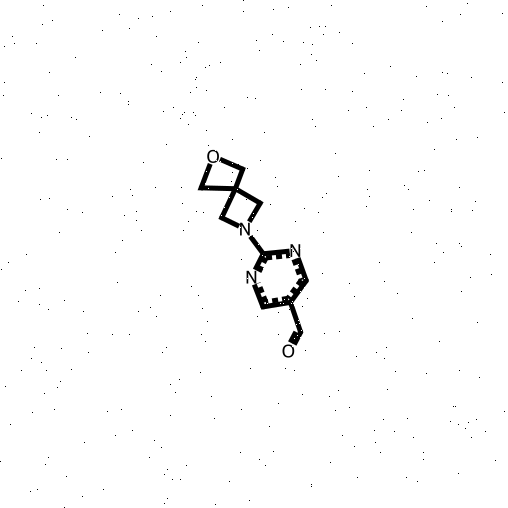 O=Cc1cnc(N2CC3(COC3)C2)nc1